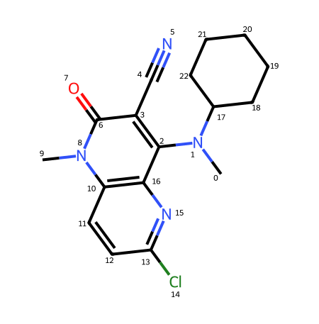 CN(c1c(C#N)c(=O)n(C)c2ccc(Cl)nc12)C1CCCCC1